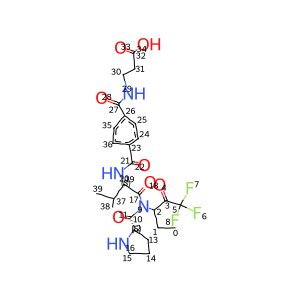 CCC(C(=O)C(F)(F)F)N(C(=O)[C@@H]1CCCN1)C(=O)[C@@H](NC(=O)c1ccc(C(=O)NCCC(=O)O)cc1)C(C)C